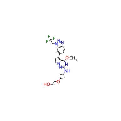 COc1nc(NC2CC(OCCO)C2)nn2ccc(-c3ccc4nnn(CC(F)(F)F)c4c3)c12